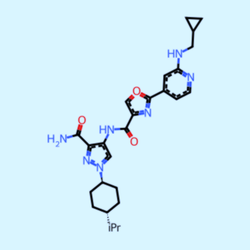 CC(C)[C@H]1CC[C@H](n2cc(NC(=O)c3coc(-c4ccnc(NCC5CC5)c4)n3)c(C(N)=O)n2)CC1